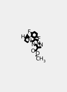 CCOC(=O)c1cnn2ccc(N3CC[C@H]4C[C@]43c3cc(F)ccc3F)nc12